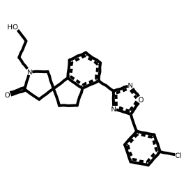 O=C1CC2(CCc3c(-c4noc(-c5cccc(Cl)c5)n4)cccc32)CN1CCO